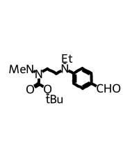 CCN(CCN(NC)C(=O)OC(C)(C)C)c1ccc(C=O)cc1